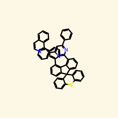 c1ccc(-c2cc(-c3ccccc3)nc(-c3cccc4c3-c3c(-c5cccc(-c6nccc7ccccc67)c5)cccc3C43c4ccccc4Sc4ccccc43)n2)cc1